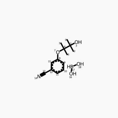 CC(C)(O)C(C)(C)Oc1cccc(C#N)c1.OBO